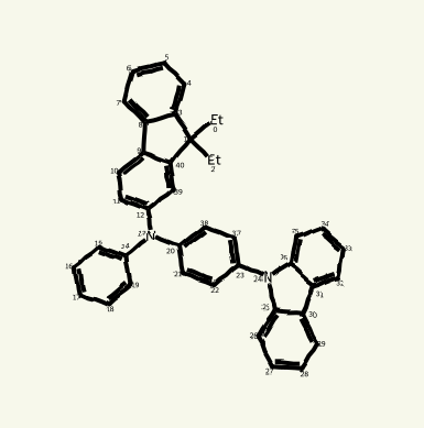 CCC1(CC)c2ccccc2-c2ccc(N(c3ccccc3)c3ccc(-n4c5ccccc5c5ccccc54)cc3)cc21